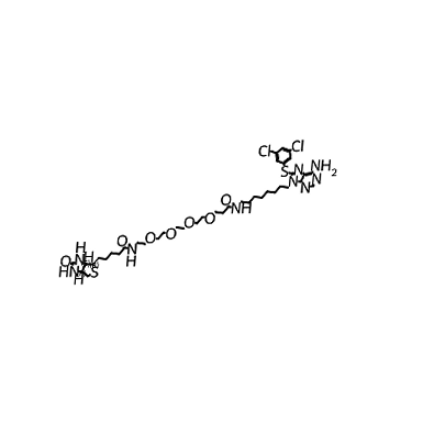 Nc1ncnc2c1nc(Sc1cc(Cl)cc(Cl)c1)n2CCCCCCCCNC(=O)CCOCCOCCOCCOCCNC(=O)CCCC[C@H]1SC[C@@H]2NC(=O)N[C@@H]21